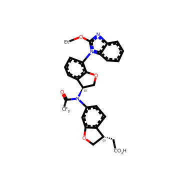 CCOc1nc2ccccc2n1-c1cccc2c1OC[C@H]2N(C(=O)C(F)(F)F)c1ccc2c(c1)OC[C@H]2CC(=O)O